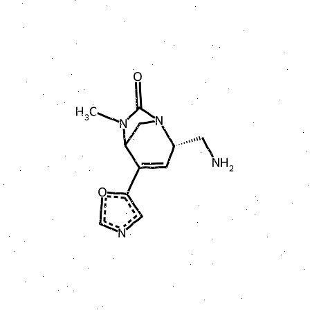 CN1C(=O)N2CC1C(c1cnco1)=C[C@H]2CN